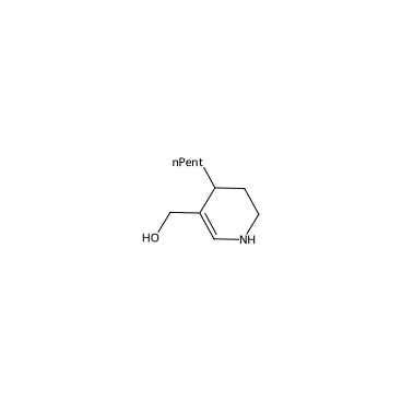 CCCCCC1CCNC=C1CO